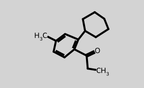 CCC(=O)c1ccc(C)cc1C1CCCCC1